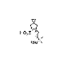 CC(C)(C)[Si](C)(C)OC[C@@H]1CC2(CC2)CN1C(=O)O